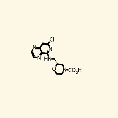 O=C(O)N1CCO[C@H](CNc2nc(Cl)cc3nccnc23)C1